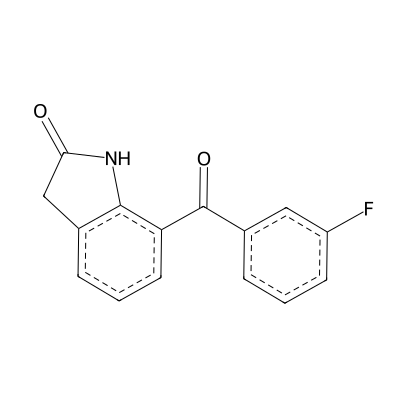 O=C1Cc2cccc(C(=O)c3cccc(F)c3)c2N1